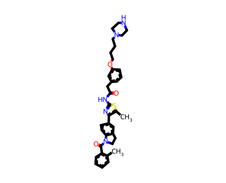 Cc1ccccc1C(=O)N1CCc2cc(-c3nc(NC(=O)Cc4cccc(OCCCCN5CCNCC5)c4)sc3C)ccc21